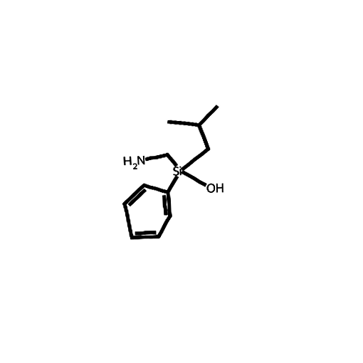 CC(C)C[Si](O)(CN)c1ccccc1